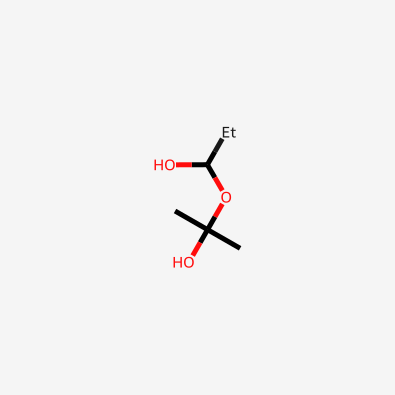 CCC(O)OC(C)(C)O